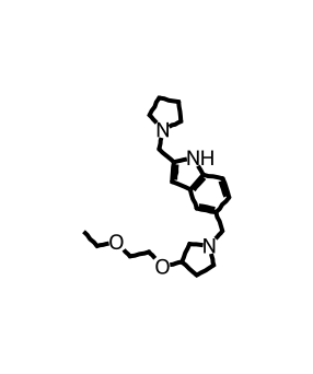 CCOCCOC1CCN(Cc2ccc3[nH]c(CN4CCCC4)cc3c2)C1